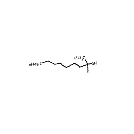 CCCCCCCCCCCCCC(C)(S)C(=O)O